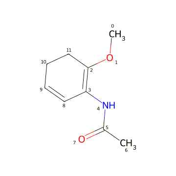 COC1=C(NC(C)=O)C=CCC1